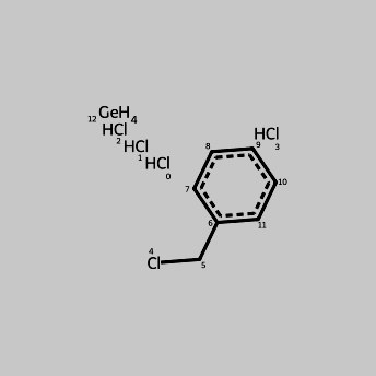 Cl.Cl.Cl.Cl.ClCc1ccccc1.[GeH4]